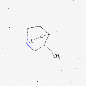 [CH2]C1CN2CCC1CC2